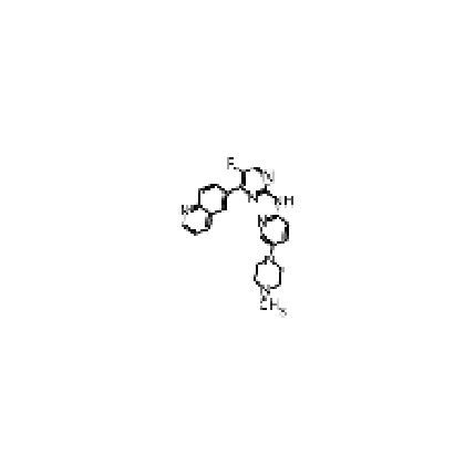 CN1CCN(c2ccc(Nc3ncc(F)c(-c4ccc5ncccc5c4)n3)nc2)CC1